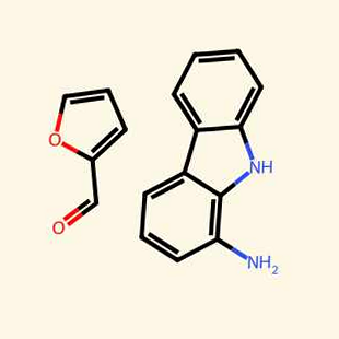 Nc1cccc2c1[nH]c1ccccc12.O=Cc1ccco1